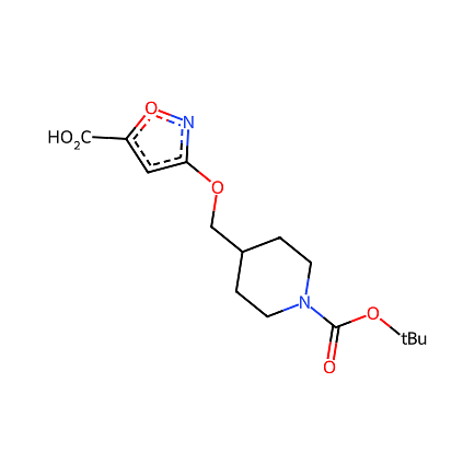 CC(C)(C)OC(=O)N1CCC(COc2cc(C(=O)O)on2)CC1